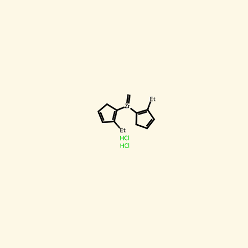 Cl.Cl.[CH2]=[Zr]([C]1=C(CC)C=CC1)[C]1=C(CC)C=CC1